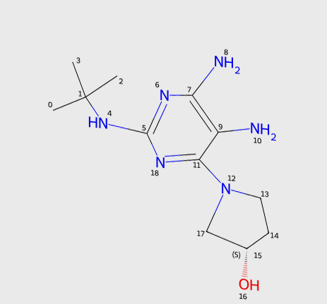 CC(C)(C)Nc1nc(N)c(N)c(N2CC[C@H](O)C2)n1